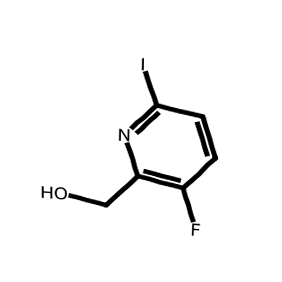 OCc1nc(I)ccc1F